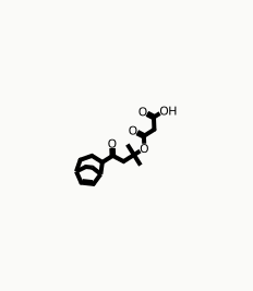 CC(C)(CC(=O)C1CCC2C=CC1CC2)OC(=O)CC(=O)O